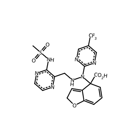 CS(=O)(=O)Nc1nccnc1CNN(c1ncc(C(F)(F)F)cn1)C1(C(=O)O)C=CC=C2OCC=C21